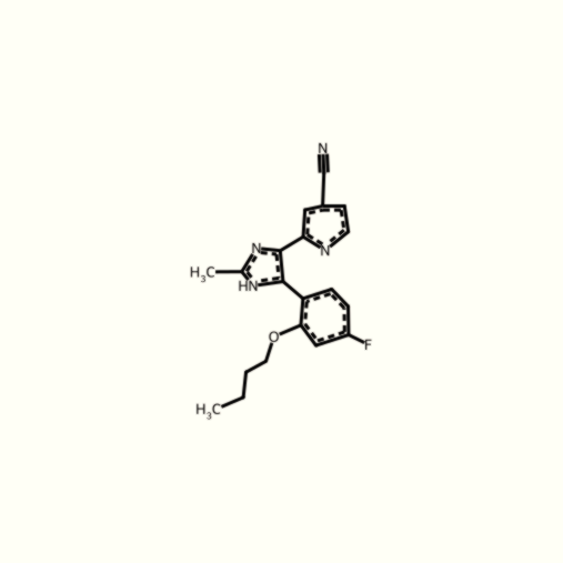 CCCCOc1cc(F)ccc1-c1[nH]c(C)nc1-c1cc(C#N)ccn1